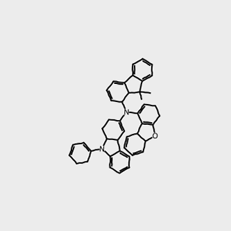 CC1(C)c2ccccc2C2=CC=CC(N(C3=CC4c5ccccc5N(C5=CC=CCC5)C4CC3)C3=CCCC4=C3C3C=CC=CC3O4)C21